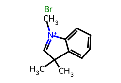 C[N+]1=CC(C)(C)c2ccccc21.[Br-]